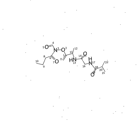 C=C(ON(C=O)C(=O)CCC)C(C)NC(=O)CNC(=O)C(C)C